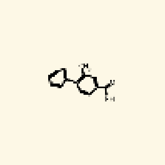 Cc1cc(C([NH])=O)ccc1-c1ccccc1